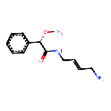 CO[C@H](C(=O)NC/C=C/CN)c1ccccc1